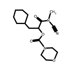 CN(C#N)C(=O)C(CC1CCCCC1)OC(=O)N1CCOCC1